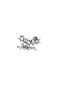 Cc1nn2c(c1C(=O)OC1C3=CC[C@@H](C3)C1(C)C)NC(c1ccccc1)CC2(C)C